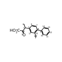 CC(C(=O)C(=O)O)c1ccc(-c2ccccc2)c(F)c1